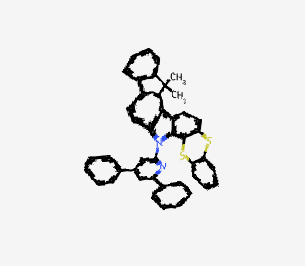 CC1(C)c2ccccc2-c2ccc3c(c21)c1ccc2c(c1n3-c1cc(-c3ccccc3)cc(-c3ccccc3)n1)Sc1ccccc1S2